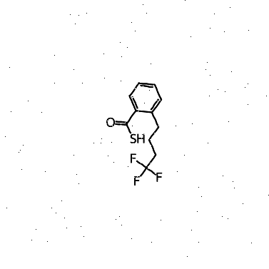 O=C(S)c1ccccc1CCCC(F)(F)F